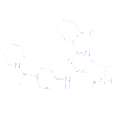 O=C1NCc2nc(-c3c(F)cccc3F)nc(Nc3ccc(C(=O)N4CCOCC4)cc3)c21